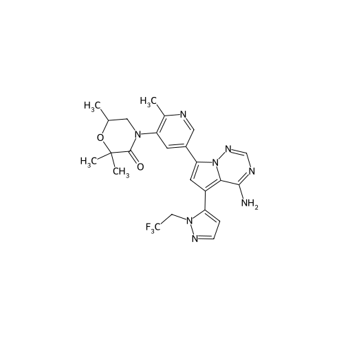 Cc1ncc(-c2cc(-c3ccnn3CC(F)(F)F)c3c(N)ncnn23)cc1N1CC(C)OC(C)(C)C1=O